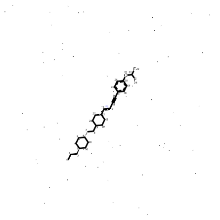 CCC[C@H]1CC[C@H](CCC2CCC(/C=C/C#Cc3ccc(OC(F)F)cc3)CC2)CC1